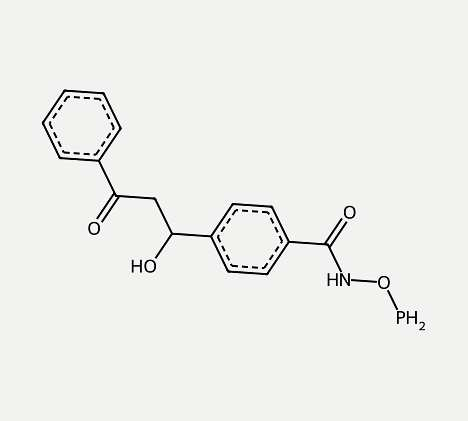 O=C(CC(O)c1ccc(C(=O)NOP)cc1)c1ccccc1